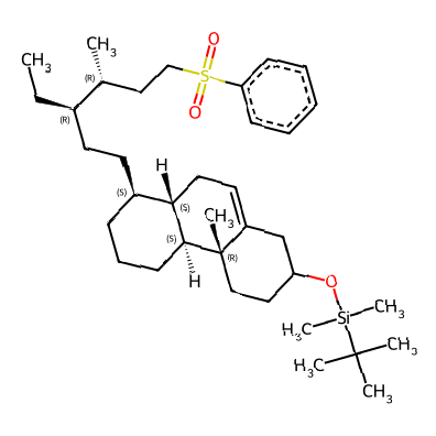 CC[C@H](CC[C@@H]1CCC[C@H]2[C@H]1CC=C1CC(O[Si](C)(C)C(C)(C)C)CC[C@@]12C)[C@H](C)CCS(=O)(=O)c1ccccc1